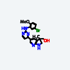 COc1ccc(Br)cc1Nc1nccc(-c2cnc3c(c2)C(C)(CO)CN3)n1